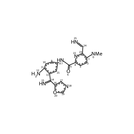 CNc1ccc(C(=O)Nc2ccc(N)c(C(=N)c3cnco3)c2)nc1C=N